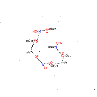 CCCCCCCCCCCOC(=O)CCCCCN(CCO)CCCCCCCC(=O)OC(CCCCCCCC)CCCCCCCCC(CCC)CCCCCOC(=O)CCCCCCCN(CCO)CCCCCC(=O)OC(CCCCCCCC)CCCCCCCCC(CCC)CCCCC(CCCCCCCC)OC(=O)CCCCCCCN(CCCO)CCCCCCCCC